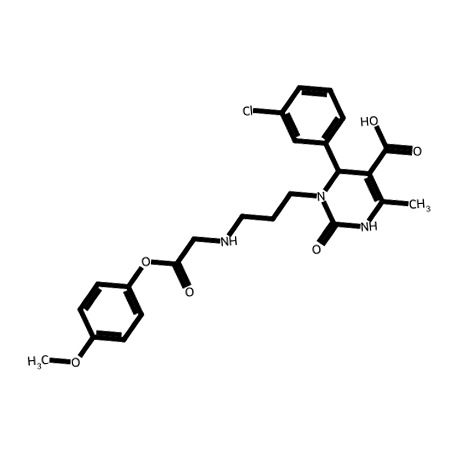 COc1ccc(OC(=O)CNCCCN2C(=O)NC(C)=C(C(=O)O)C2c2cccc(Cl)c2)cc1